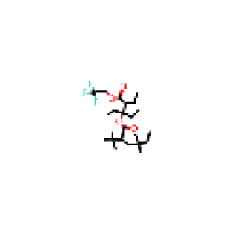 CCC(C(=O)OCC(F)(F)F)C(CC)(CC)OC(=O)C(CC(C)(C)CC)C(C)(C)C